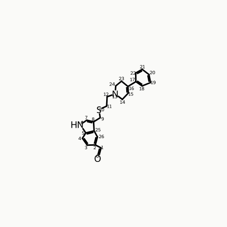 O=Cc1ccc2[nH]cc(CSCCN3CC=C(c4ccccc4)CC3)c2c1